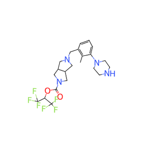 Cc1c(CN2CC3CN(C(=O)OC(C(F)(F)F)C(F)(F)F)CC3C2)cccc1N1CCNCC1